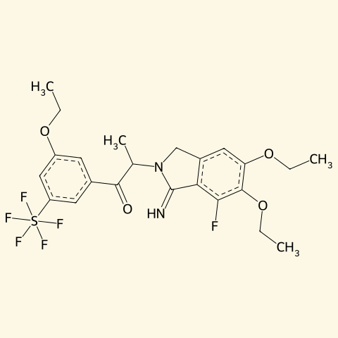 CCOc1cc(C(=O)C(C)N2Cc3cc(OCC)c(OCC)c(F)c3C2=N)cc(S(F)(F)(F)(F)F)c1